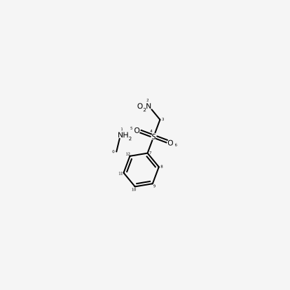 CN.O=[N+]([O-])CS(=O)(=O)c1ccccc1